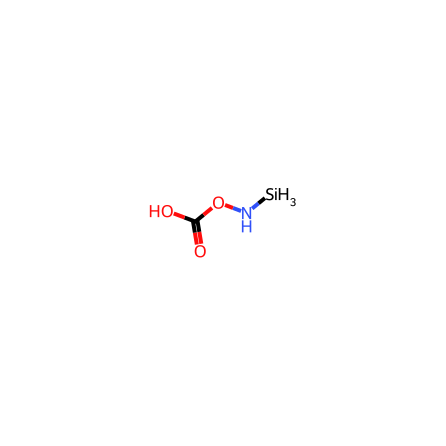 O=C(O)ON[SiH3]